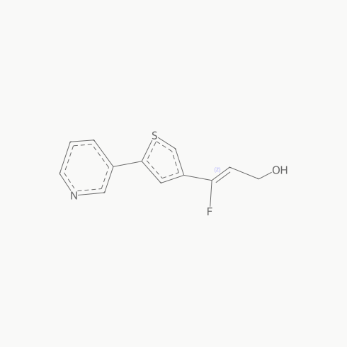 OC/C=C(\F)c1csc(-c2cccnc2)c1